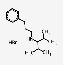 Br.CC(C)C(NCCCc1ccccc1)C(C)C